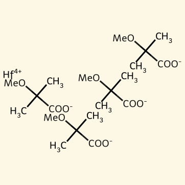 COC(C)(C)C(=O)[O-].COC(C)(C)C(=O)[O-].COC(C)(C)C(=O)[O-].COC(C)(C)C(=O)[O-].[Hf+4]